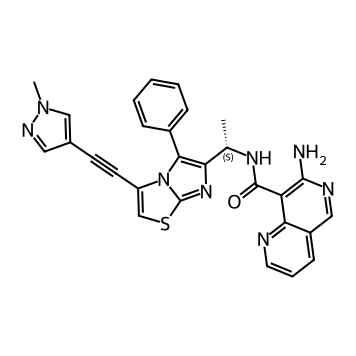 C[C@H](NC(=O)c1c(N)ncc2cccnc12)c1nc2scc(C#Cc3cnn(C)c3)n2c1-c1ccccc1